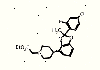 CCOC(=O)CN1CCC(c2cccc3c2OC(C)(c2ccc(Cl)cc2F)O3)CC1